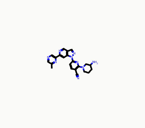 Cc1cncc(-c2cc3c(cn2)cnn3-c2ccc(C#N)c(N3CCCC(N)C3)n2)n1